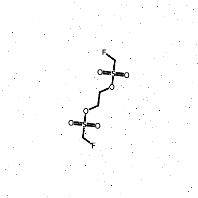 O=S(=O)(CF)OCCOS(=O)(=O)CF